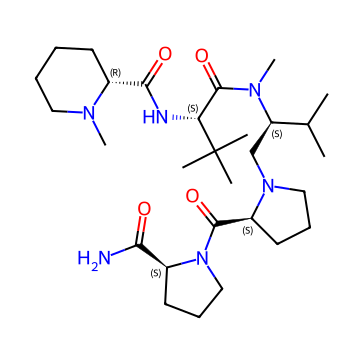 CC(C)[C@@H](CN1CCC[C@H]1C(=O)N1CCC[C@H]1C(N)=O)N(C)C(=O)[C@@H](NC(=O)[C@H]1CCCCN1C)C(C)(C)C